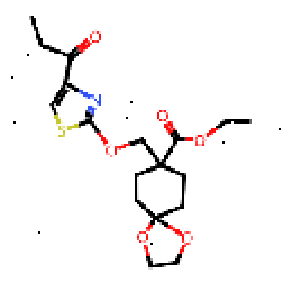 CCOC(=O)C1(COc2nc(C(=O)CC)cs2)CCC2(CC1)OCCO2